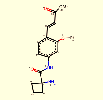 CCOc1cc(NC(=O)C2(N)CCC2)ccc1/C=C/C(=O)OC